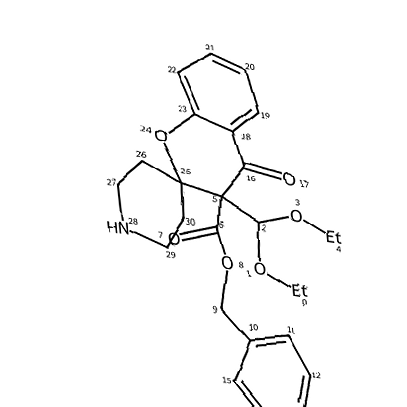 CCOC(OCC)C1(C(=O)OCc2ccccc2)C(=O)c2ccccc2OC12CCNCC2